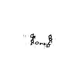 CCc1c2c(nc3ccc(O)cc13)-c1cc3c(c(=O)n1C2)COC(=O)[C@@]3(CC)OC(=O)NCC(=O)O[C@H]1CC[C@H](Nc2cc(-n3nc(C)c4c3CC(C)(C)CC4=O)ccc2C(N)=O)CC1